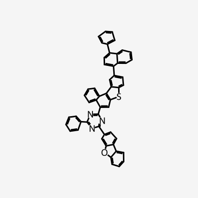 c1ccc(-c2nc(-c3ccc4c(c3)oc3ccccc34)nc(-c3cc4sc5ccc(-c6ccc(-c7ccccc7)c7ccccc67)cc5c4c4ccccc34)n2)cc1